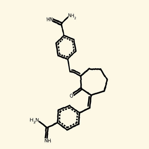 N=C(N)c1ccc(C=C2CCCCC(=Cc3ccc(C(=N)N)cc3)C2=O)cc1